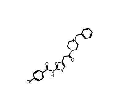 O=C(Nc1nc(CC(=O)N2CCN(Cc3ccccc3)CC2)cs1)c1ccc(Cl)cc1